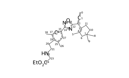 C=C=C(C1=C(C)CC(C)(C)CC1)c1nc(-c2cc(C)c(CCNCC(=O)OCC)c(C)c2)no1